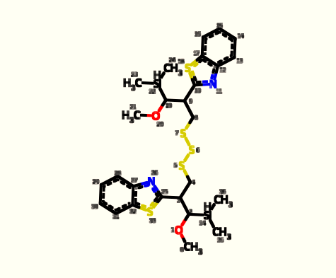 COC(C(CSSSCC(c1nc2ccccc2s1)C(OC)[SiH](C)C)c1nc2ccccc2s1)[SiH](C)C